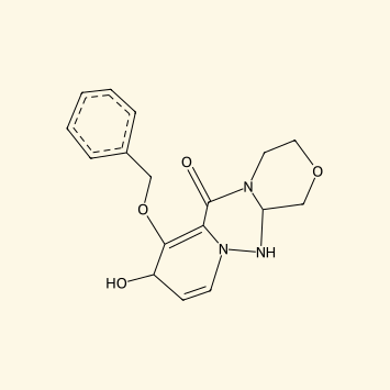 O=C1C2=C(OCc3ccccc3)C(O)C=CN2NC2COCCN12